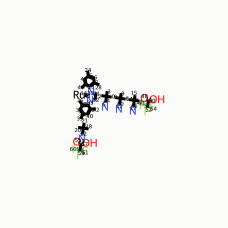 CC(C)(C)C#N.CC(C)(C)C#N.CC(C)(C)C#N.CC(C)(C)C#N.Cc1cc(C)c(N2CCN(c3c(C)cc(C)cc3C)[C]2=[Ru])c(C)c1.O=C(O)C(F)(F)F.O=C(O)C(F)(F)F